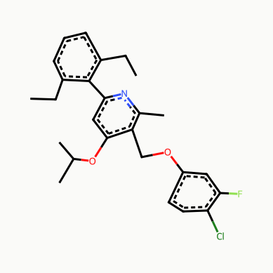 CCc1cccc(CC)c1-c1cc(OC(C)C)c(COc2ccc(Cl)c(F)c2)c(C)n1